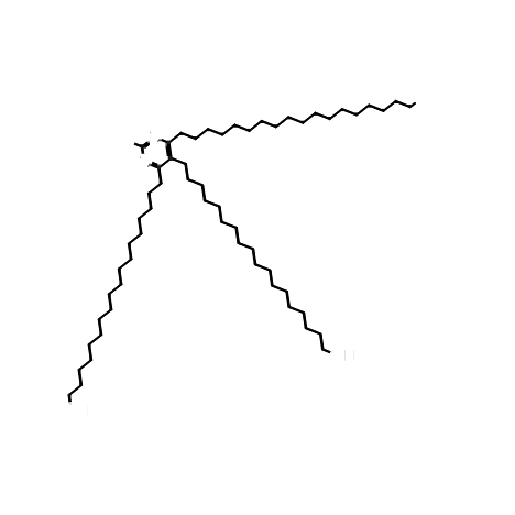 [CH2]c1nc(CCCCCCCCCCCCCCCCCCC)c(CCCCCCCCCCCCCCCCCCC)c(CCCCCCCCCCCCCCCCCCC)n1